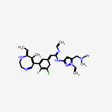 C=C/N=C(\C=C1C=C(C2=C(C)/C(=C/C)NCC/N=C\2)C(F)=C(F)C\1)Nc1cc(CN(C)C(C)C)n(C=C)n1